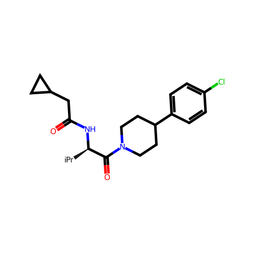 CC(C)[C@@H](NC(=O)CC1CC1)C(=O)N1CCC(c2ccc(Cl)cc2)CC1